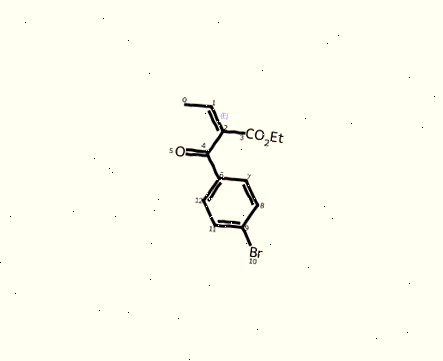 C/C=C(/C(=O)OCC)C(=O)c1ccc(Br)cc1